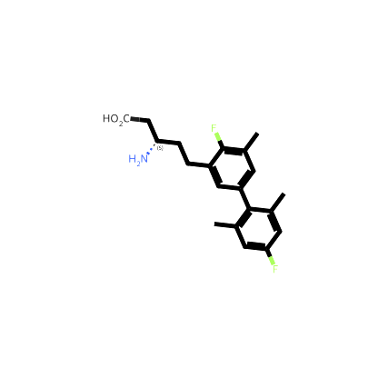 Cc1cc(-c2c(C)cc(F)cc2C)cc(CC[C@H](N)CC(=O)O)c1F